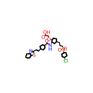 O=C(O)COc1ccc(CCCS(=O)(=O)c2ccc(Cl)cc2)cc1NC(=O)c1ccc(C=Cc2nc3ccccc3s2)cc1